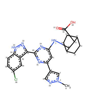 Cn1cc(-c2cc(NC3C4CCC(CC4)C3C(=O)O)nc(-c3n[nH]c4ccc(Cl)cc34)n2)cn1